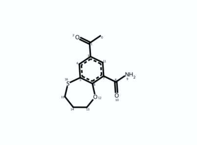 CC(=O)c1cc2c(c(C(N)=O)c1)OCCCS2